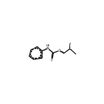 CC(C)COC(=O)Nc1c[c]ccc1